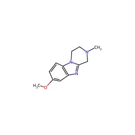 COc1ccc2c(c1)nc1n2CCN(C)C1